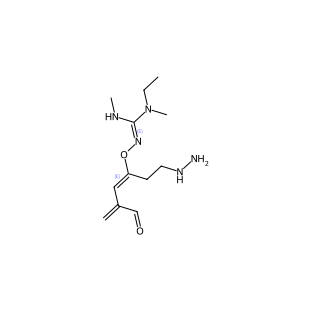 C=C(C=O)/C=C(\CCNN)O/N=C(\NC)N(C)CC